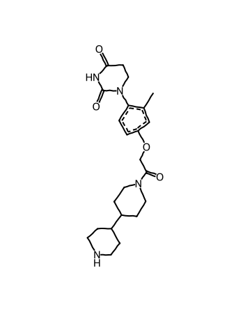 Cc1cc(OCC(=O)N2CCC(C3CCNCC3)CC2)ccc1N1CCC(=O)NC1=O